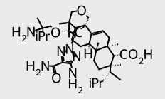 CC(C)[C@@H](C)[C@@]1(C)CC[C@]2(C)[C@H]3CC[C@@H]4[C@@]5(COC[C@@]4(C)[C@@H](OC[C@](C)(N)C(C)C)[C@H](n4nc(N)c(C(N)=O)n4)C5)C3=CC[C@@]2(C)[C@@H]1C(=O)O